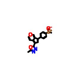 Cc1nnc(-c2cc(-c3ccc([S+](C)[O-])cc3)c3coccc2-3)o1